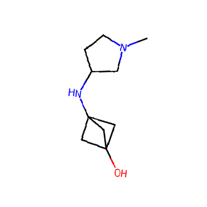 CN1CCC(NC23CC(O)(C2)C3)C1